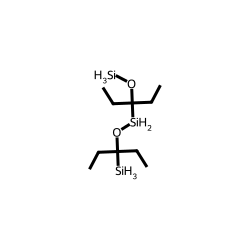 CCC([SiH3])(CC)O[SiH2]C(CC)(CC)O[SiH3]